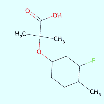 CC1CCC(OC(C)(C)C(=O)O)CC1F